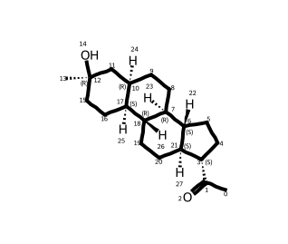 CC(=O)[C@H]1CC[C@H]2[C@@H]3CC[C@@H]4C[C@](C)(O)CC[C@@H]4[C@H]3CC[C@@H]21